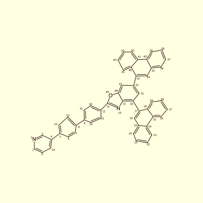 c1cncc(-c2ccc(-c3ccc(-c4nc5c(-c6cc7ccccc7c7ccccc67)cc(-c6cc7ccccc7c7ccccc67)cc5o4)cc3)cc2)c1